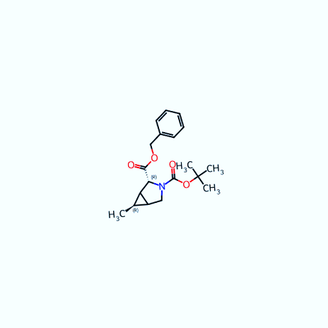 C[C@@H]1C2CN(C(=O)OC(C)(C)C)[C@@H](C(=O)OCc3ccccc3)C21